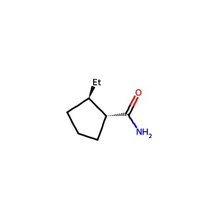 CC[C@@H]1CCC[C@H]1C(N)=O